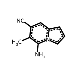 Cc1c(C#N)cc2cccn2c1N